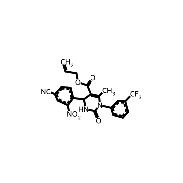 C=CCOC(=O)C1=C(C)N(c2cccc(C(F)(F)F)c2)C(=O)NC1c1ccc(C#N)cc1[N+](=O)[O-]